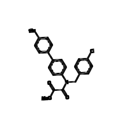 COC(=O)C(=O)N(Cc1ccc(Cl)cc1)c1ccc(-c2ccc(C(C)(C)C)cc2)cc1